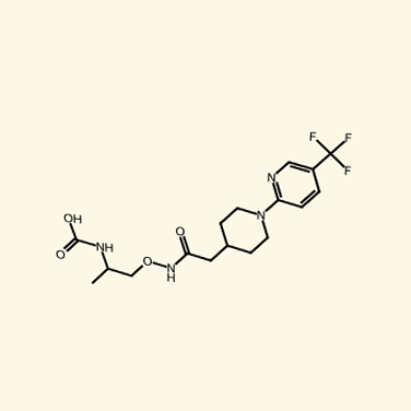 CC(CONC(=O)CC1CCN(c2ccc(C(F)(F)F)cn2)CC1)NC(=O)O